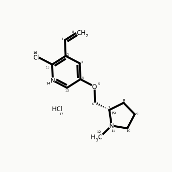 C=Cc1cc(OC[C@@H]2CCCN2C)cnc1Cl.Cl